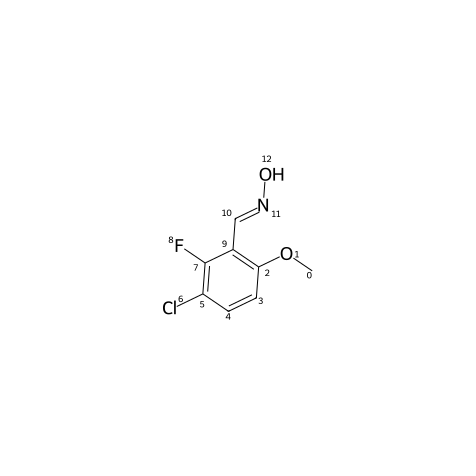 COc1ccc(Cl)c(F)c1C=NO